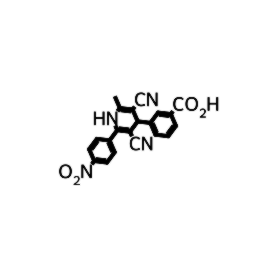 CC1=C(C#N)C(c2cccc(C(=O)O)c2)C(C#N)=C(c2ccc([N+](=O)[O-])cc2)N1